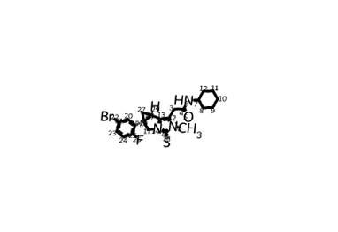 Cn1c(CC(=O)NC2CCCCC2)c2n(c1=S)C[C@@]1(c3cc(Br)ccc3F)C[C@@H]21